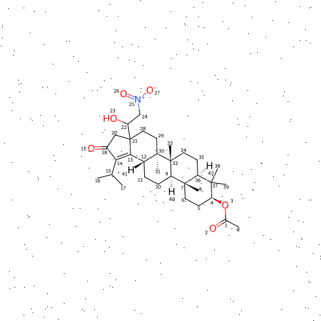 CC(=O)O[C@H]1CC[C@]2(C)[C@H]3CC[C@@H]4C5=C(C(C)C)C(=O)CC5(C(O)C[N+](=O)[O-])CC[C@@]4(C)[C@]3(C)CC[C@H]2C1(C)C